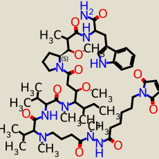 CCC(C)C(C(CC(=O)N1CCC[C@H]1C(OC)C(C)C(=O)NC(Cc1c[nH]c2ccccc12)C(N)=O)OC)N(C)C(=O)C(NC(=O)C(C(C)C)N(C)CCCC(=O)N(C)NC(=O)CCCCCN1C(=O)C=CC1=O)C(C)C